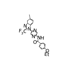 CCOc1ccc(C(=O)Nc2cnc(N3C4=CC=C(C)CC4N=C3C(F)(F)F)cn2)cc1